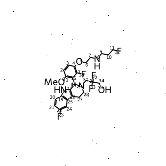 COc1ccc(OCCNCCCF)c(F)c1[C@@H]1c2[nH]c3ccc(F)cc3c2CCN1CC(F)(F)CO